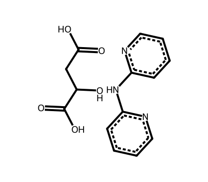 O=C(O)CC(O)C(=O)O.c1ccc(Nc2ccccn2)nc1